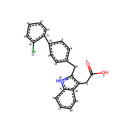 O=C(O)Cc1c(Cc2ccc(-c3ccccc3Br)cc2)[nH]c2ccccc12